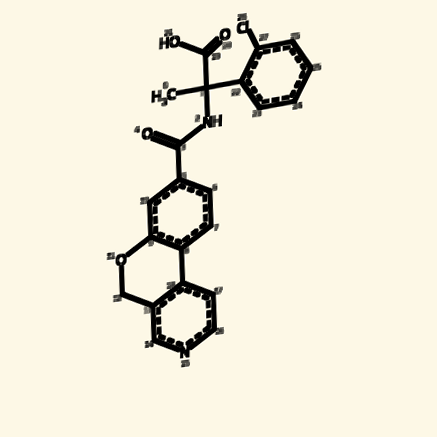 CC(NC(=O)c1ccc2c(c1)OCc1cnccc1-2)(C(=O)O)c1ccccc1Cl